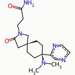 CN(C)[C@]1(c2cnccn2)CC[C@@]2(CC1)CC(=O)N(CCC(N)=O)C2